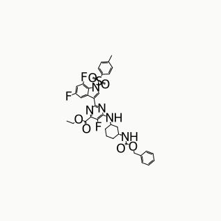 CCOC(=O)c1nc(-c2cn(S(=O)(=O)c3ccc(C)cc3)c3c(F)cc(F)cc23)nc(N[C@@H]2CCC[C@H](NC(=O)OCc3ccccc3)C2)c1F